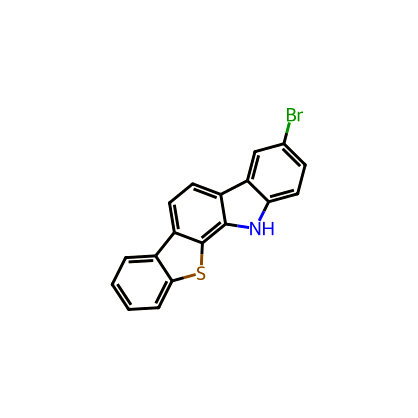 Brc1ccc2[nH]c3c(ccc4c5ccccc5sc43)c2c1